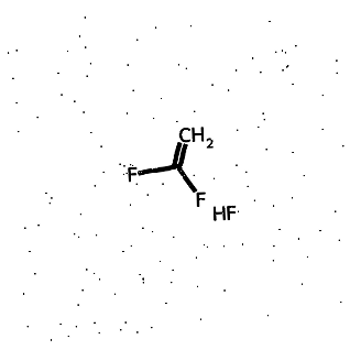 C=C(F)F.F